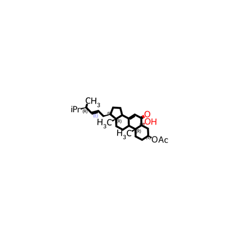 CC(=O)O[C@H]1CC[C@]2(C)C3CC[C@@]4(C)C(CC[C@@H]4C/C=C/[C@H](C)C(C)C)C3=CC(=O)[C@@]2(O)C1